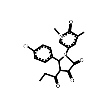 CCC(=O)C1C(=O)C(=O)N(c2cc(C)c(=O)n(C)c2)C1c1ccc(Cl)cc1